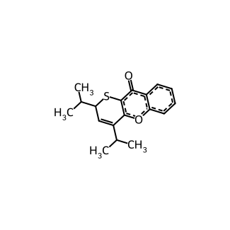 CC(C)C1=CC(C(C)C)Sc2c1oc1ccccc1c2=O